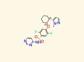 Cn1nccc1[C@H]1CCCC[C@@H]1Oc1cc(F)c(S(=O)(=O)Nc2ccncn2)cc1F